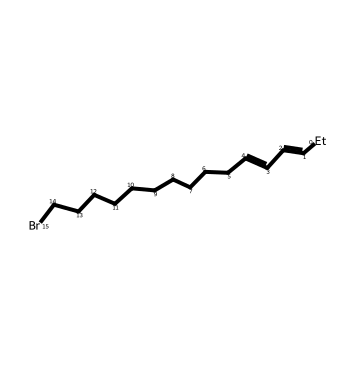 CCC=CC=CCCCCCCCCCCBr